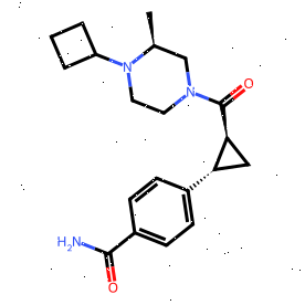 C[C@H]1CN(C(=O)[C@H]2C[C@@H]2c2ccc(C(N)=O)cc2)CCN1C1CCC1